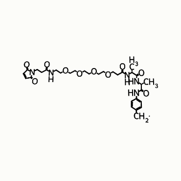 [CH2]c1ccc(NC(=O)[C@H](C)NC(=O)[C@H](C)NC(=O)CCOCCOCCOCCOCCNC(=O)CCN2C(=O)C=CC2=O)cc1